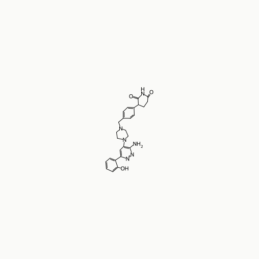 Nc1nnc(-c2ccccc2O)cc1N1CCN(Cc2ccc(C3CCC(=O)NC3=O)cc2)CC1